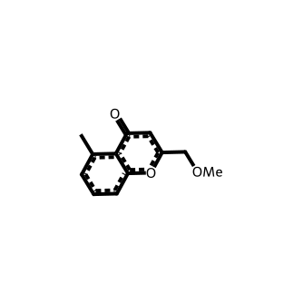 COCc1cc(=O)c2c(C)cccc2o1